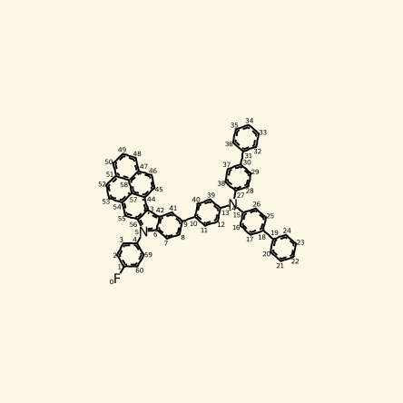 Fc1ccc(-n2c3ccc(-c4ccc(N(c5ccc(-c6ccccc6)cc5)c5ccc(-c6ccccc6)cc5)cc4)cc3c3c4ccc5cccc6ccc(cc32)c4c65)cc1